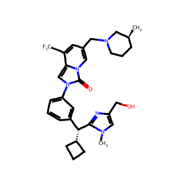 C[C@H]1CCCN(Cc2cc(C(F)(F)F)c3cn(-c4cccc([C@H](c5nc(CO)cn5C)C5CCC5)c4)c(=O)n3c2)C1